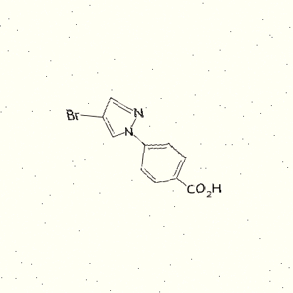 O=C(O)c1ccc(-n2cc(Br)cn2)cc1